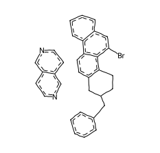 Brc1cc2ccccc2c2ccc3c(c12)CCC(Cc1ccccc1)C3.c1cc2cnccc2cn1